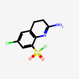 NC1=Nc2c(cc(Cl)cc2S(=O)(=O)Cl)CC1